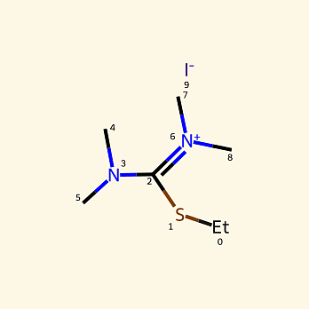 CCSC(N(C)C)=[N+](C)C.[I-]